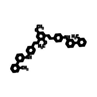 COc1cc(C=Cc2ccc(Nc3cccc(-c4ccccc4C)c3)cc2)c(OC)c(C=Cc2ccc(Nc3cccc(-c4ccccc4C)c3)cc2)c1